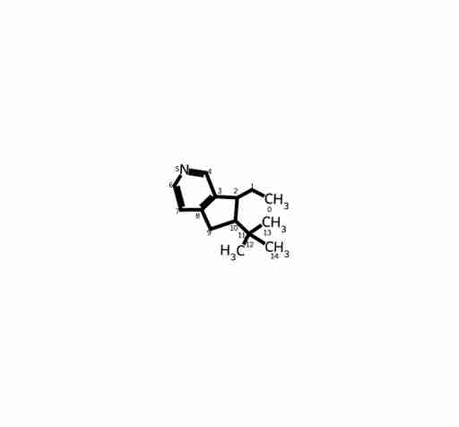 CCC1c2cnccc2CC1C(C)(C)C